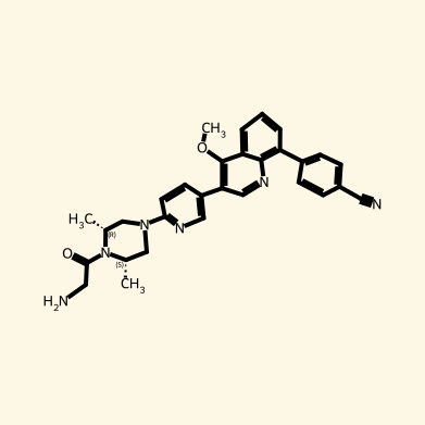 COc1c(-c2ccc(N3C[C@@H](C)N(C(=O)CN)[C@@H](C)C3)nc2)cnc2c(-c3ccc(C#N)cc3)cccc12